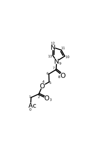 CC(=O)CC(=O)OCCC(=O)n1ccnc1